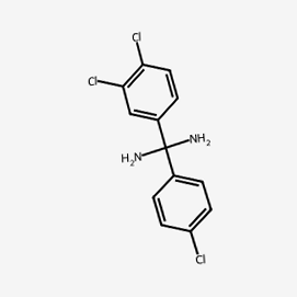 NC(N)(c1ccc(Cl)cc1)c1ccc(Cl)c(Cl)c1